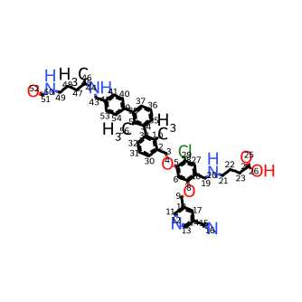 Cc1c(COc2cc(OCc3cncc(C#N)c3)c(CNCCCC(=O)O)cc2Cl)cccc1-c1cccc(-c2ccc(CNC(C)CCCNC=O)cc2)c1C